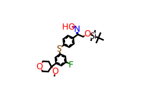 COC1(c2cc(F)cc(Sc3ccc(/C(CO[Si](C)(C)C(C)(C)C)=N\O)cc3)c2)CCOCC1